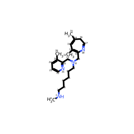 CNCCCCCCN(CC1=C(C)C=C(C)CC=N1)Cc1ncccc1C